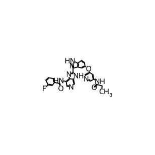 CCC(=O)Nc1cncc(Oc2ccc3[nH]nc(-c4nc5c(NC(=O)c6cccc(F)c6)cncc5[nH]4)c3c2)c1